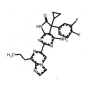 CCCc1nc(-c2nc(N)c3c(n2)NC(=O)C3(c2ccc(F)c(F)c2)C2CC2)cn2ccnc12